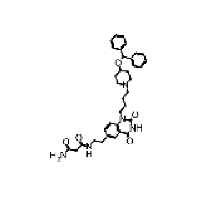 NC(=O)CC(=O)NCCc1ccc2c(c1)c(=O)[nH]c(=O)n2CCCCN1CCC(OC(c2ccccc2)c2ccccc2)CC1